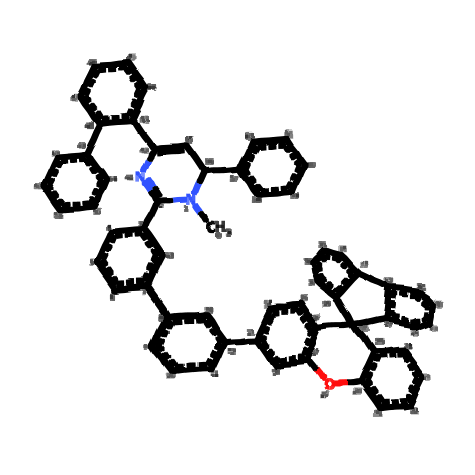 CN1C(c2cccc(-c3cccc(-c4ccc5c(c4)Oc4ccccc4C54c5ccccc5-c5ccccc54)c3)c2)=NC(c2ccccc2-c2ccccc2)=CC1c1ccccc1